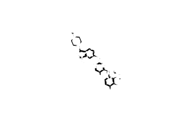 Cc1ccc(Nc2nc(Nc3ccc4c(N5CCN(C)CC5)nn(C(C)C)c4c3)ncc2Cl)c(P(C)(C)=O)c1C